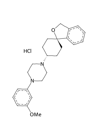 COc1cccc(N2CCN([C@H]3CC[C@@]4(CC3)OCc3ccccc34)CC2)c1.Cl